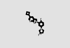 Fc1ccc(N2CC[C@@H](F)C2)cc1-n1cc2cc(C3CCC3)cnc2n1